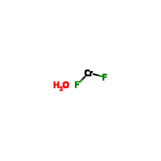 O.[F][Cr][F]